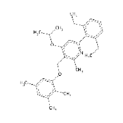 CCc1cccc(CC)c1-c1cc(OC(C)C)c(COc2cc(C)cc(C)c2C)c(C)n1